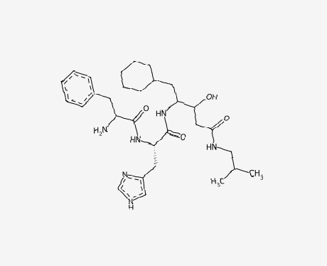 CC(C)CNC(=O)CC(O)C(CC1CCCCC1)NC(=O)[C@H](Cc1c[nH]cn1)NC(=O)C(N)Cc1ccccc1